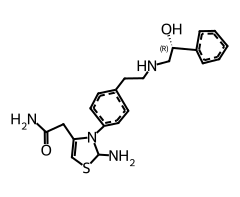 NC(=O)CC1=CSC(N)N1c1ccc(CCNC[C@H](O)c2ccccc2)cc1